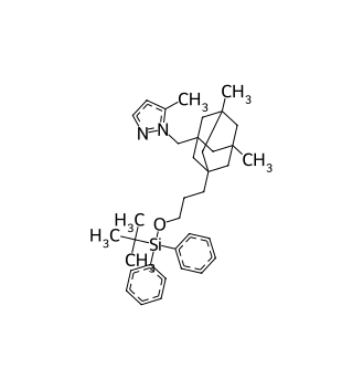 Cc1ccnn1CC12CC3(C)CC(C)(CC(CCCO[Si](c4ccccc4)(c4ccccc4)C(C)(C)C)(C3)C1)C2